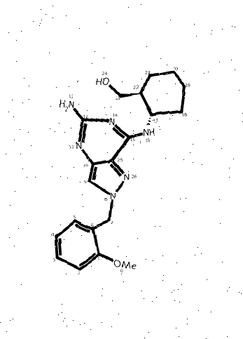 COc1ccccc1Cn1cc2nc(N)nc(N[C@H]3CCCC[C@@H]3CO)c2n1